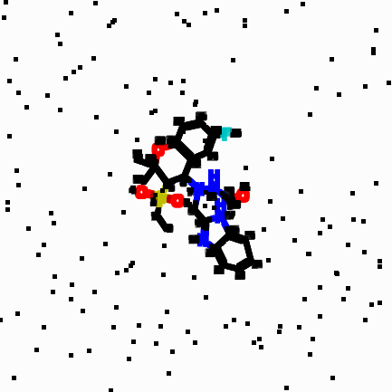 CCS(=O)(=O)C1C(N(Cc2nc3ccccc3[nH]2)NC(C)=O)c2cc(F)ccc2OC1(C)C